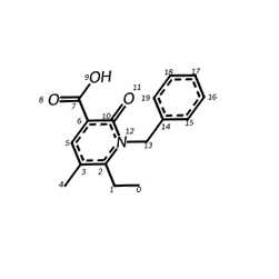 CCc1c(C)cc(C(=O)O)c(=O)n1Cc1ccccc1